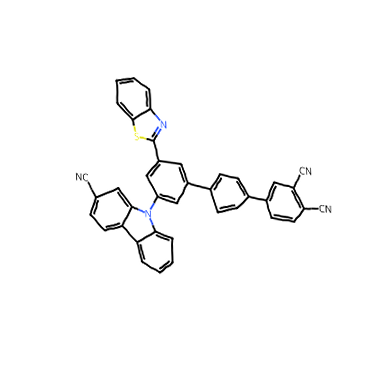 N#Cc1ccc2c3ccccc3n(-c3cc(-c4ccc(-c5ccc(C#N)c(C#N)c5)cc4)cc(-c4nc5ccccc5s4)c3)c2c1